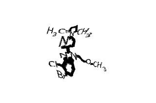 CCOCCn1c(-c2ccc(N3[C@@H](C)CC[C@@H]3C)nc2)nc2c(Cl)c(Br)ccc21